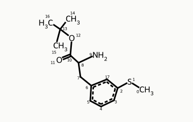 CSc1cccc(CC(N)C(=O)OC(C)(C)C)c1